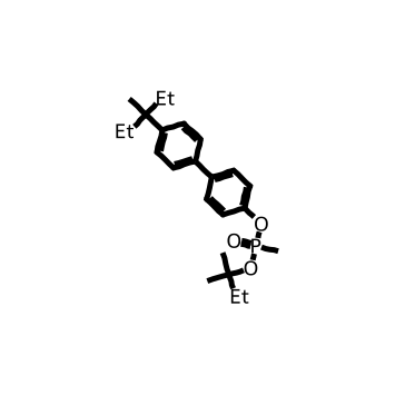 CCC(C)(C)OP(C)(=O)Oc1ccc(-c2ccc(C(C)(CC)CC)cc2)cc1